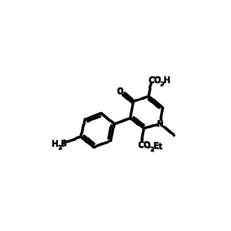 Bc1ccc(-c2c(C(=O)OCC)n(C)cc(C(=O)O)c2=O)cc1